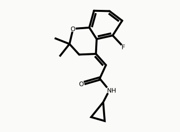 CC1(C)CC(=CC(=O)NC2CC2)c2c(F)cccc2O1